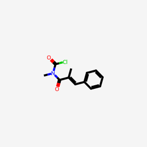 C/C(=C\c1ccccc1)C(=O)N(C)C(=O)Cl